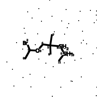 CC(Br)OCC(C)(C)[SiH2][SiH](C)C